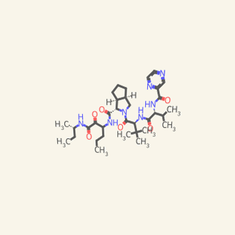 CCCC(NC(=O)[C@@H]1[C@H]2CCC[C@H]2CN1C(=O)[C@@H](NC(=O)[C@H](NC(=O)c1cnccn1)C(C)C)C(C)(C)C)C(=O)C(=O)N[C@@H](C)CC